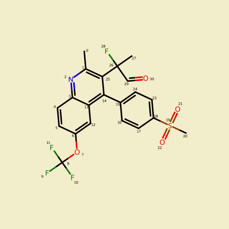 Cc1nc2ccc(OC(F)(F)F)cc2c(-c2ccc(S(C)(=O)=O)cc2)c1C(C)(F)C=O